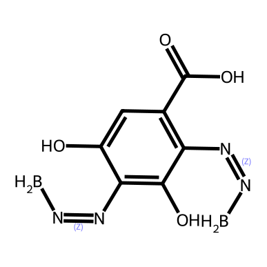 B/N=N\c1c(O)cc(C(=O)O)c(/N=N\B)c1O